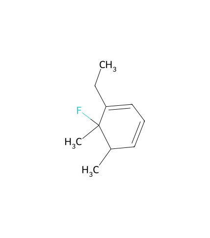 CCC1=CC=CC(C)C1(C)F